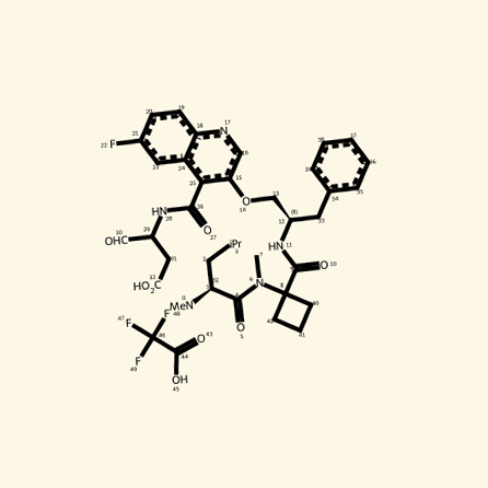 CN[C@@H](CC(C)C)C(=O)N(C)C1(C(=O)N[C@@H](COc2cnc3ccc(F)cc3c2C(=O)NC(C=O)CC(=O)O)Cc2ccccc2)CCC1.O=C(O)C(F)(F)F